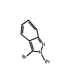 CC(C)n1nc2ccccc2c1Br